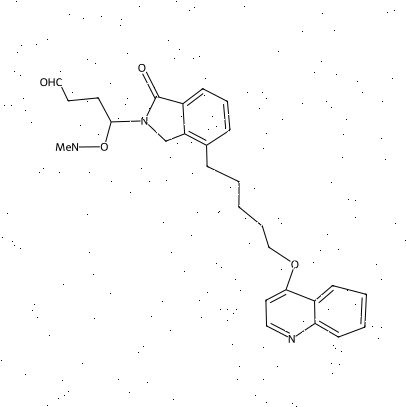 CNOC(CCC=O)N1Cc2c(CCCCCOc3ccnc4ccccc34)cccc2C1=O